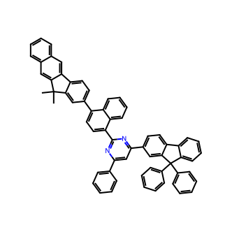 CC1(C)c2cc(-c3ccc(-c4nc(-c5ccccc5)cc(-c5ccc6c(c5)C(c5ccccc5)(c5ccccc5)c5ccccc5-6)n4)c4ccccc34)ccc2-c2cc3ccccc3cc21